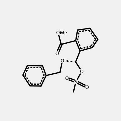 COC(=O)c1ccccc1[C@@H](OCc1ccccc1)OS(C)(=O)=O